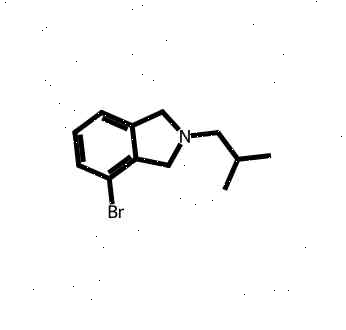 C[C](C)CN1Cc2cccc(Br)c2C1